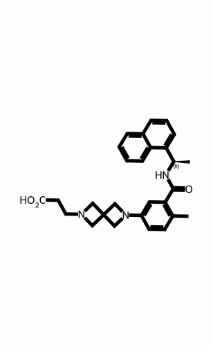 Cc1ccc(N2CC3(CN(CCC(=O)O)C3)C2)cc1C(=O)N[C@H](C)c1cccc2ccccc12